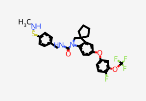 CNSc1ccc(CNC(=O)N2CC3(CCCC3)c3cc(Oc4ccc(F)c(OC(F)(F)F)c4)ccc32)cc1